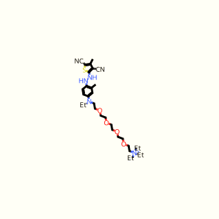 CCN(CCOCCOCCOCCOCC[N+](CC)(CC)CC)c1ccc(NNc2sc(C#N)c(C)c2C#N)c(C)c1